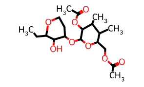 CCC1OCCC(OC2OC(COC(C)=O)C(C)C(C)C2OC(C)=O)C1O